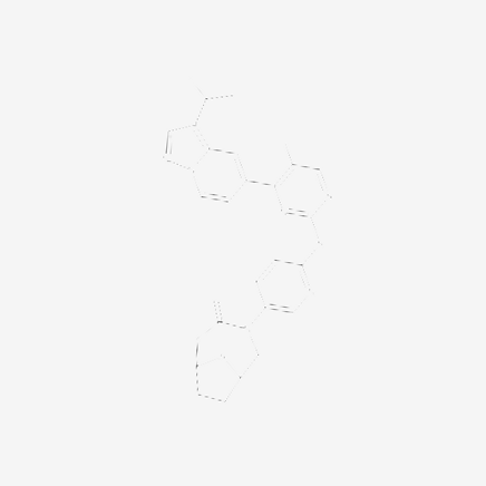 CC(C)c1cnn2ccc(-c3nc(Nc4ccc(N5CC6CCC(CC5=O)N6)cn4)ncc3F)cc12